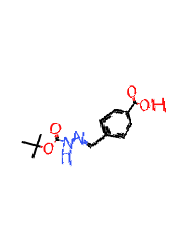 CC(C)(C)OC(=O)NN=Cc1ccc(C(=O)O)cc1